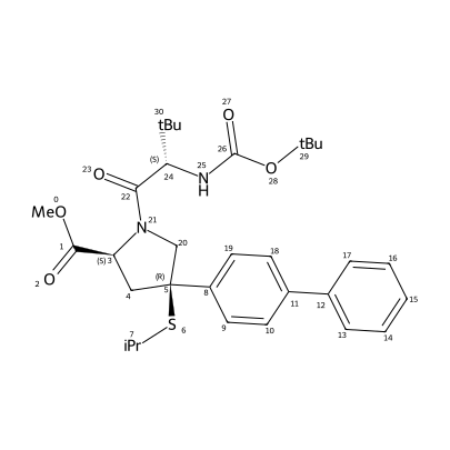 COC(=O)[C@@H]1C[C@@](SC(C)C)(c2ccc(-c3ccccc3)cc2)CN1C(=O)[C@@H](NC(=O)OC(C)(C)C)C(C)(C)C